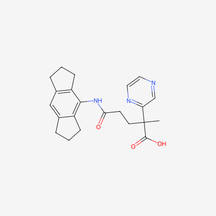 CC(CCC(=O)Nc1c2c(cc3c1CCC3)CCC2)(C(=O)O)c1cnccn1